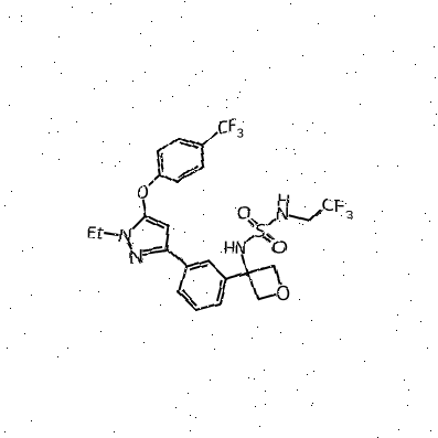 CCn1nc(-c2cccc(C3(NS(=O)(=O)NCC(F)(F)F)COC3)c2)cc1Oc1ccc(C(F)(F)F)cc1